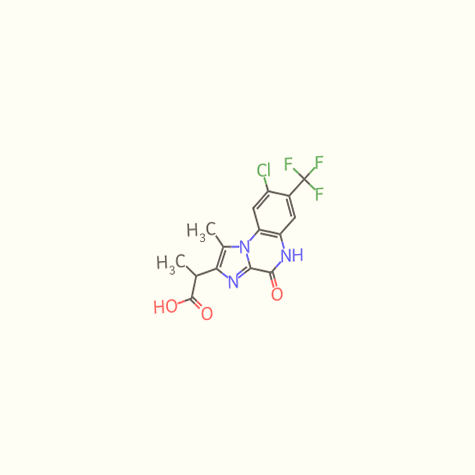 Cc1c(C(C)C(=O)O)nc2c(=O)[nH]c3cc(C(F)(F)F)c(Cl)cc3n12